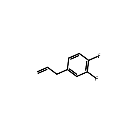 C=CCc1ccc(F)c(F)c1